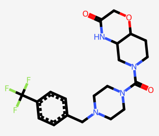 O=C1COC2CCN(C(=O)N3CCN(Cc4ccc(C(F)(F)F)cc4)CC3)CC2N1